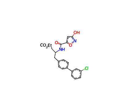 CCOC(=O)CC(Cc1ccc(-c2cccc(Cl)c2)cc1)NC(=O)c1cc(O)no1